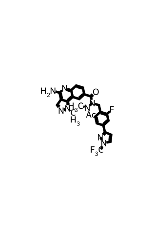 CC(=O)N(C)N(Cc1ccc(-c2ccn(C(F)(F)F)n2)cc1F)C(=O)c1ccc2nc(N)c3cnn(C)c3c2c1